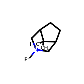 CC(C)N1CC2CCC(C1)C2(C)C